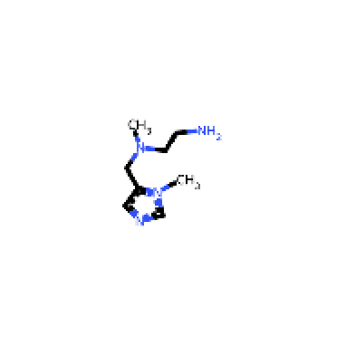 CN(CCN)Cc1cncn1C